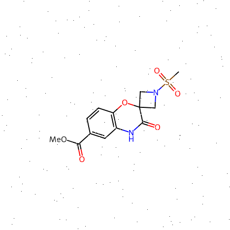 COC(=O)c1ccc2c(c1)NC(=O)C1(CN(S(C)(=O)=O)C1)O2